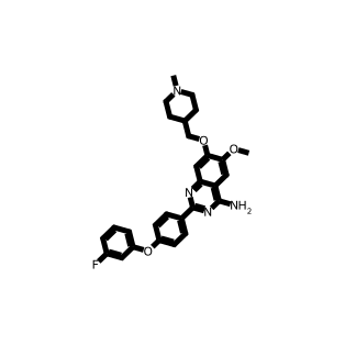 COc1cc2c(N)nc(-c3ccc(Oc4cccc(F)c4)cc3)nc2cc1OCC1CCN(C)CC1